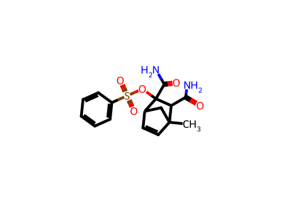 CC12C=CC(C1)C(OS(=O)(=O)c1ccccc1)(C(N)=O)C2C(N)=O